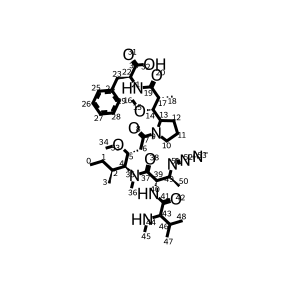 CC[C@H](C)[C@@H]([C@@H](CC(=O)N1CCCC1[C@H](OC)[C@@H](C)C(=O)N[C@@H](Cc1ccccc1)C(=O)O)OC)N(C)C(=O)[C@@H](NC(=O)C(NC)C(C)C)[C@H](C)N=[N+]=[N-]